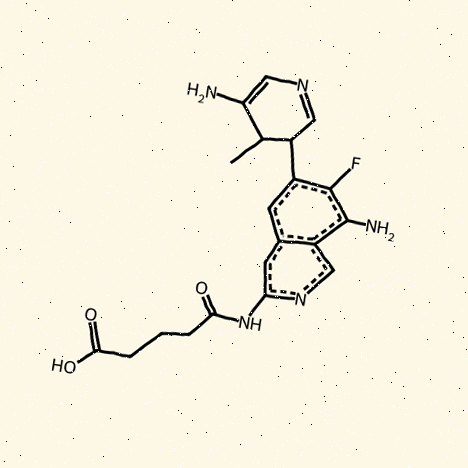 CC1C(N)=CN=CC1c1cc2cc(NC(=O)CCCC(=O)O)ncc2c(N)c1F